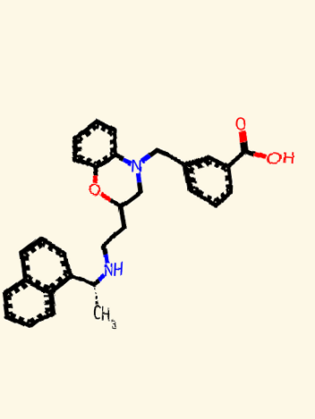 C[C@@H](NCCC1CN(Cc2cccc(C(=O)O)c2)c2ccccc2O1)c1cccc2ccccc12